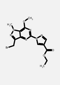 CCOC(=O)c1cnn(-c2nc(OC)c3c(n2)c(CBr)nn3C)c1